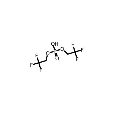 O=P(O)(OCC(F)(F)F)OCC(F)(F)F